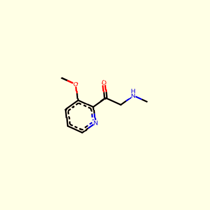 CNCC(=O)c1ncccc1OC